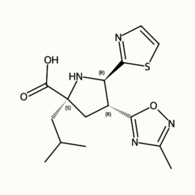 Cc1noc([C@@H]2C[C@@](CC(C)C)(C(=O)O)N[C@H]2c2nccs2)n1